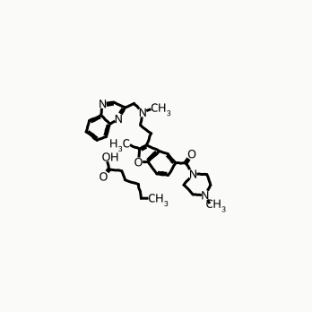 CCCCCC(=O)O.Cc1oc2ccc(C(=O)N3CCN(C)CC3)cc2c1CCN(C)Cc1cnc2ccccc2n1